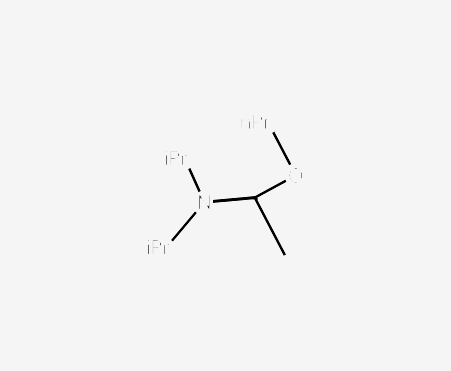 CCCOC(C)N(C(C)C)C(C)C